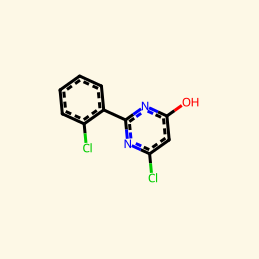 Oc1cc(Cl)nc(-c2ccccc2Cl)n1